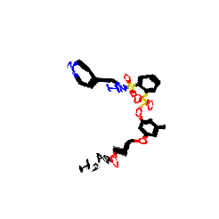 Cc1cc(OCCCO[AsH2])cc(OS(=O)(=O)c2ccccc2S(=O)(=O)NCc2ccncc2)c1